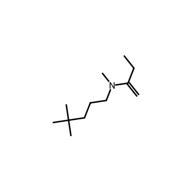 C=C(CC)N(C)CCCC(C)(C)C